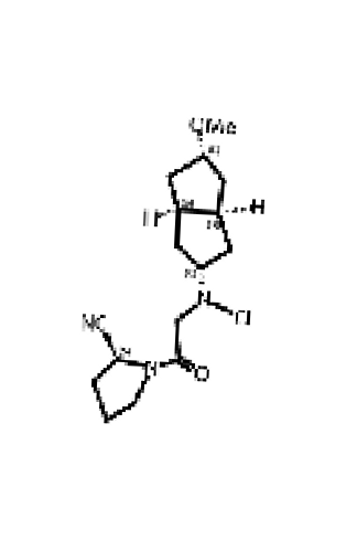 CO[C@H]1C[C@@H]2C[C@@H](N(Cl)CC(=O)N3CCC[C@H]3C#N)C[C@@H]2C1